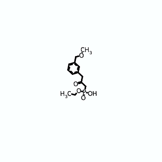 CCOP(=O)(O)CC(=O)Cc1cccc(COC)c1